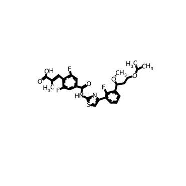 COC(CCOC(C)C)c1cccc(-c2csc(NC(=O)c3cc(F)c(/C=C(\C)C(=O)O)c(F)c3)n2)c1F